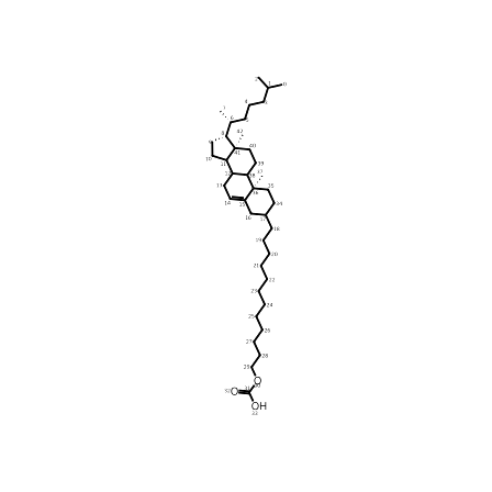 CC(C)CCC[C@@H](C)[C@H]1CCC2C3CC=C4CC(CCCCCCCCCCCCOC(=O)O)CC[C@]4(C)C3CC[C@@]21C